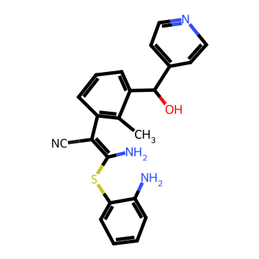 Cc1c(/C(C#N)=C(\N)Sc2ccccc2N)cccc1C(O)c1ccncc1